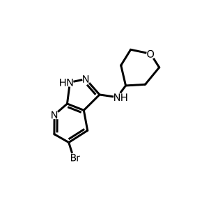 Brc1cnc2[nH]nc(NC3CCOCC3)c2c1